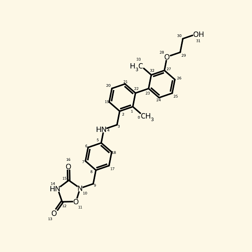 Cc1c(CNc2ccc(Cn3oc(=O)[nH]c3=O)cc2)cccc1-c1cccc(OCCO)c1C